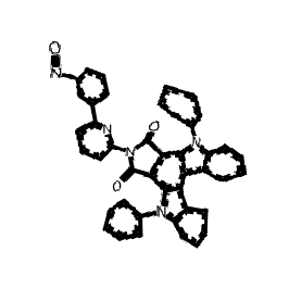 O=Nc1cccc(-c2cccc(N3C(=O)c4c(c5c(c6ccccc6n5-c5ccccc5)c5c6ccccc6n(-c6ccccc6)c45)C3=O)n2)c1